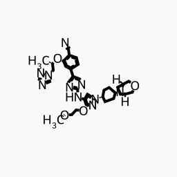 COCCOc1nn([C@H]2CC[C@H](N3[C@@H]4CC[C@H]3COC4)CC2)cc1Nc1ncc(-c2ccc(C#N)c(O[C@@H](C)Cn3cncn3)c2)cn1